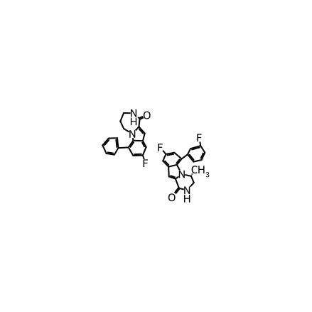 C[C@@H]1CNC(=O)c2cc3cc(F)cc(-c4cccc(F)c4)c3n21.O=C1NCCCn2c1cc1cc(F)cc(-c3ccccc3)c12